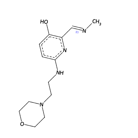 C/N=C/c1nc(NCCN2CCOCC2)ccc1O